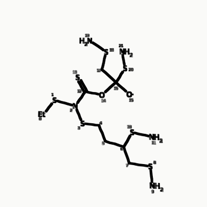 [CH2]CSN(SCCC(CSN)SN)C(=S)OC([O])(CSN)SN